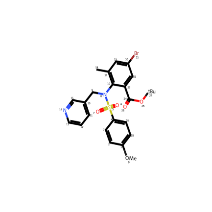 COc1ccc(S(=O)(=O)N(Cc2cccnc2)c2c(C)cc(Br)cc2C(=O)OC(C)(C)C)cc1